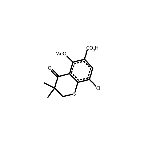 COc1c(C(=O)O)cc(Cl)c2c1C(=O)C(C)(C)CS2